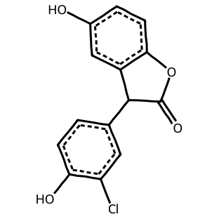 O=C1Oc2ccc(O)cc2C1c1ccc(O)c(Cl)c1